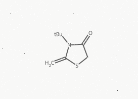 C=C1SCC(=O)N1C(C)(C)C